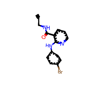 C#CCNC(=O)c1cccnc1Nc1ccc(Br)cc1